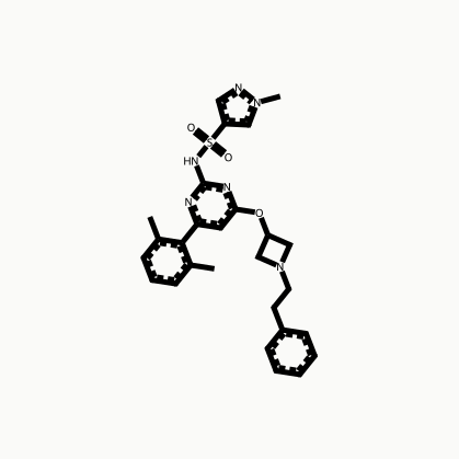 Cc1cccc(C)c1-c1cc(OC2CN(CCc3ccccc3)C2)nc(NS(=O)(=O)c2cnn(C)c2)n1